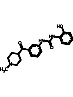 CN1CCC(C(=O)c2cccc(NC(=O)Nc3ccccc3O)c2)CC1